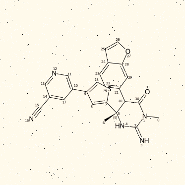 CN1C(=N)N[C@](C)(c2cc(-c3cncc(C#N)c3)cs2)C(c2ccc3ccoc3c2)C1=O